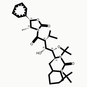 CC(C)[C@@H](C(=O)N1C(=O)O[C@@H](c2ccccc2)[C@H]1C)[C@@H](O)[C@@H]1OC(C)(C)N(C(=O)OC(C)(C)C)[C@H]1CC1CCCCC1